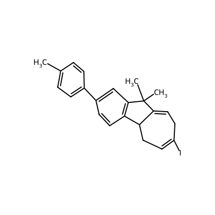 Cc1ccc(-c2ccc3c(c2)C(C)(C)C2=CCC(I)=CCC23)cc1